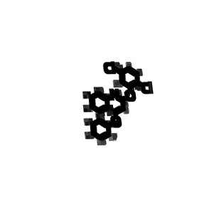 Clc1ccc(Cl)c(OC(C=COc2ccccc2)=Nc2ccccc2)c1